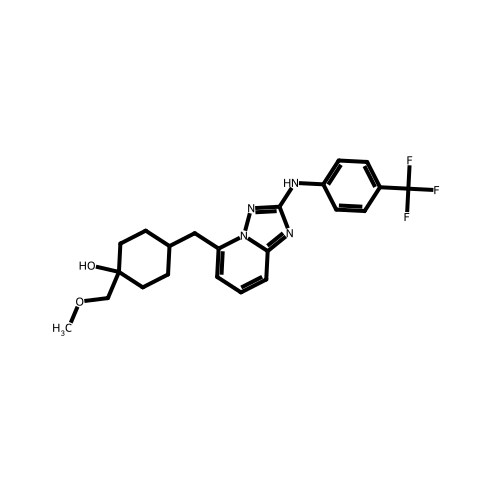 COCC1(O)CCC(Cc2cccc3nc(Nc4ccc(C(F)(F)F)cc4)nn23)CC1